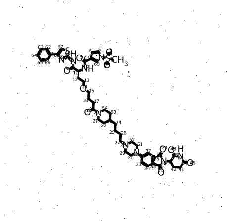 CS(=O)(=O)n1ccc(C(=O)N[C@@H](CCOCCCC(=O)N2CCC(CCCCN3CCN(c4ccc5c(c4)C(=O)N(C4CCC(=O)NC4=O)C5=O)CC3)CC2)C(=O)Nc2nc(-c3ccccc3)cs2)c1